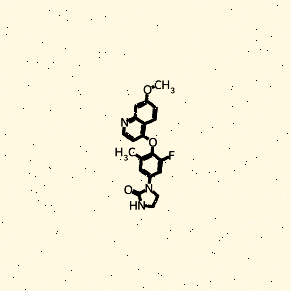 COc1ccc2c(Oc3c(C)cc(N4CCNC4=O)cc3F)ccnc2c1